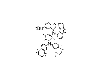 CC1C=C(N(c2csc3ccc(C(C)(C)C)cc23)c2cc#cc3oc4ccccc4c23)C(C)C(N(c2ccc3c(c2)C(C)(C)CCC3(C)C)c2ccc3c(c2)C(C)(C)CCC3(C)C)C1C